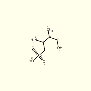 CC(CO)C(N)CS(=O)(=O)O